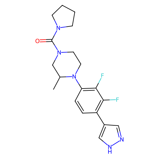 CC1CN(C(=O)N2CCCC2)CCN1c1ccc(-c2cn[nH]c2)c(F)c1F